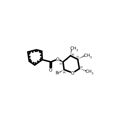 C[C@@H]1[C@H](C)[C@H](C)O[C@H](Br)[C@H]1OC(=O)c1ccccc1